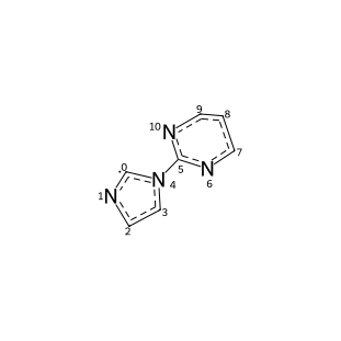 [c]1nccn1-c1ncccn1